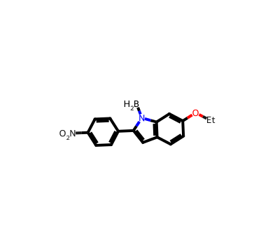 Bn1c(-c2ccc([N+](=O)[O-])cc2)cc2ccc(OCC)cc21